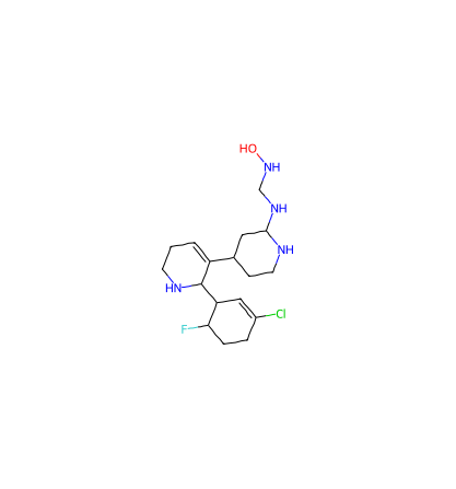 ONCNC1CC(C2=CCCNC2C2C=C(Cl)CCC2F)CCN1